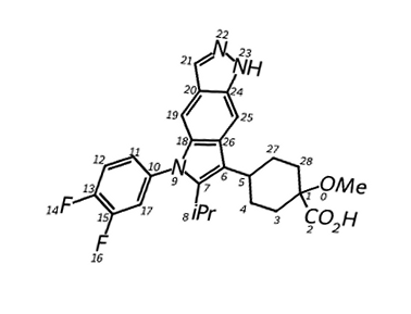 COC1(C(=O)O)CCC(c2c(C(C)C)n(-c3ccc(F)c(F)c3)c3cc4cn[nH]c4cc23)CC1